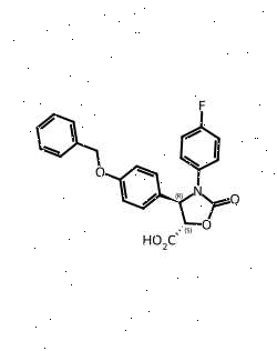 O=C(O)[C@H]1OC(=O)N(c2ccc(F)cc2)[C@@H]1c1ccc(OCc2ccccc2)cc1